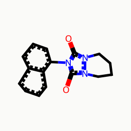 O=c1n(-c2cccc3ccccc23)c(=O)n2n1CCCC2